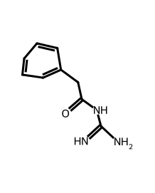 N=C(N)NC(=O)Cc1ccccc1